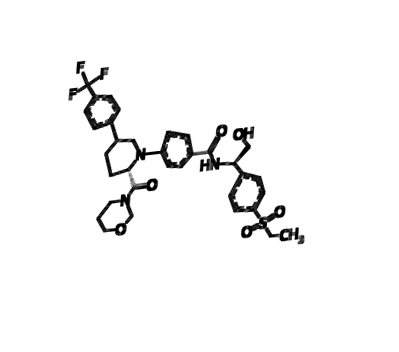 CCS(=O)(=O)c1ccc([C@H](CO)NC(=O)c2ccc(N3CC(c4ccc(C(F)(F)F)cc4)CC[C@H]3C(=O)N3CCCOC3)cc2)cc1